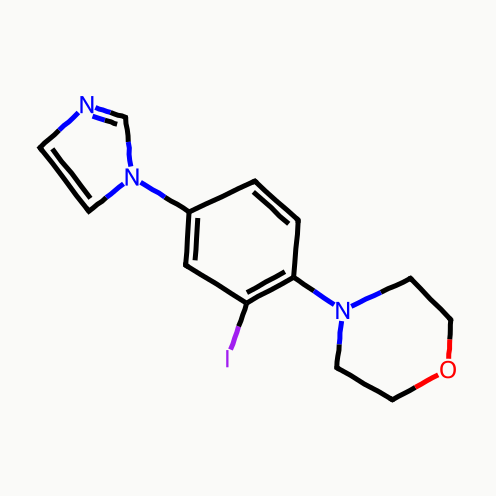 Ic1cc(-n2ccnc2)ccc1N1CCOCC1